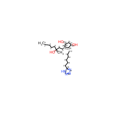 CCCCCC(C)(O)CC[C@@H]1[C@@H](CCCCCCc2nnn[nH]2)[C@@H](O)C[C@H]1O